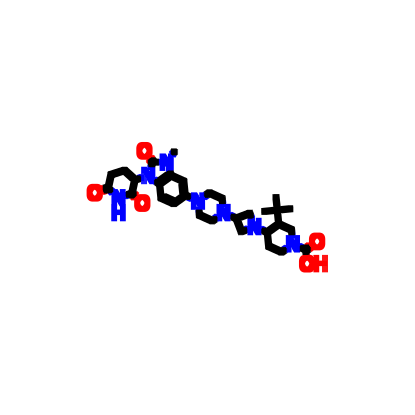 Cn1c(=O)n(C2CCC(=O)NC2=O)c2ccc(N3CCN(C4CN(C5CCN(C(=O)O)CC5C(C)(C)C)C4)CC3)cc21